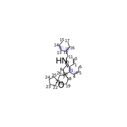 C=C/C=C(\C=C/C)[C@]1(CCNCC(/C=C\C)=C/C)CCOC2(CCCC2)C1